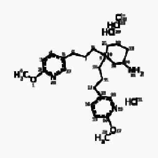 COc1ccc(CCC[N+]2(CCCc3ccc(OC)nc3)CCCC(N)C2)cn1.Cl.Cl.Cl.[Cl-]